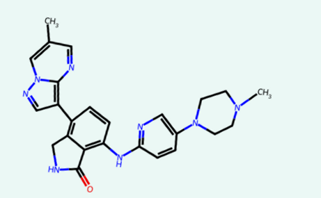 Cc1cnc2c(-c3ccc(Nc4ccc(N5CCN(C)CC5)cn4)c4c3CNC4=O)cnn2c1